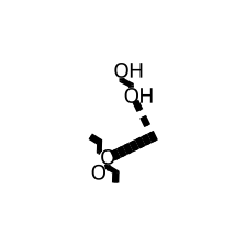 C=C.C=C.C=C.C=C.C=C.C=C.C=C.C=C.C=C.C=CCOC(=O)C=C.OCCO